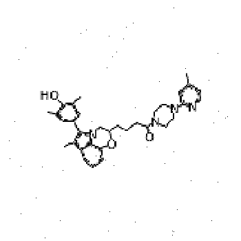 Cc1ccnc(N2CCN(C(=O)CCCC3Cn4c(-c5cc(C)c(O)c(C)c5)c(C)c5cccc(c54)O3)CC2)c1